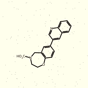 O=C(O)N1CCOc2ccc(-c3cnc4ccccc4c3)cc2C1